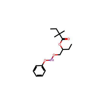 CCC(COPOc1ccccc1)OC(=O)C(C)(C)CC